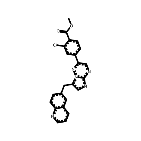 COC(=O)c1ccc(-c2cnc3ncc(Cc4ccc5ncccc5c4)n3n2)cc1Cl